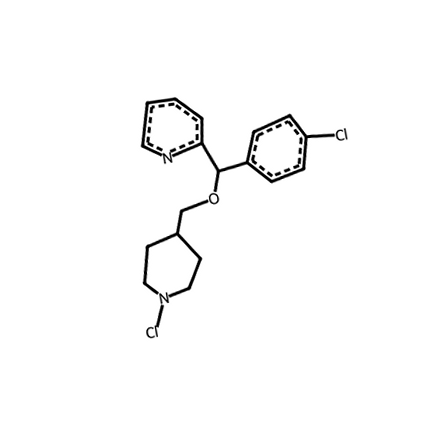 Clc1ccc(C(OCC2CCN(Cl)CC2)c2ccccn2)cc1